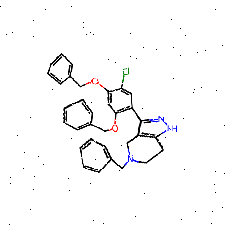 Clc1cc(-c2n[nH]c3c2CN(Cc2ccccc2)CC3)c(OCc2ccccc2)cc1OCc1ccccc1